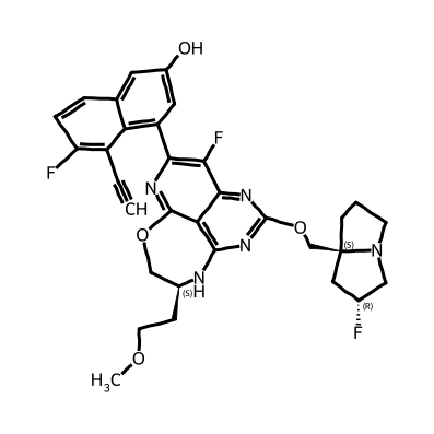 C#Cc1c(F)ccc2cc(O)cc(-c3nc4c5c(nc(OC[C@@]67CCCN6C[C@H](F)C7)nc5c3F)N[C@@H](CCOC)CO4)c12